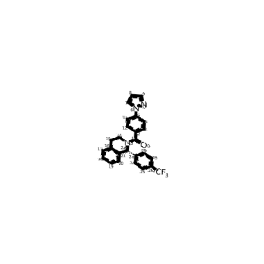 O=C(c1ccc(-n2cccn2)cc1)N1CCc2ccccc2[C@H]1c1ccc(C(F)(F)F)cc1